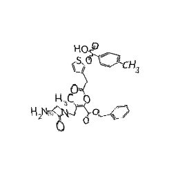 CC(CN1C[C@H](N)C1=O)=C(OC(=O)Cc1ccsc1)C(=O)OCc1ccccc1.Cc1ccc(S(=O)(=O)O)cc1